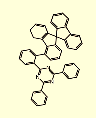 C1=CC2=C(CC1)c1c(-c3ccccc3-c3nc(-c4ccccc4)nc(-c4ccccc4)n3)cccc1C21c2ccccc2-c2ccccc21